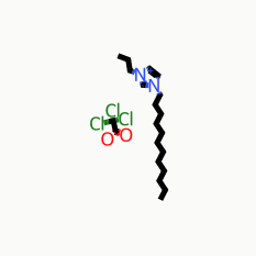 CCCCCCCCCCCCn1cc[n+](CCC)c1.O=C([O-])C(Cl)(Cl)Cl